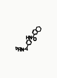 O=C(Nc1ccc(C2CC2NCC2CC2)cc1)c1ccc2c(c1)CCCC2